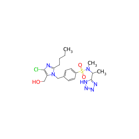 CCCCc1nc(Cl)c(CO)n1Cc1ccc(S(=O)(=O)N(C)C(C)c2nnn[nH]2)cc1